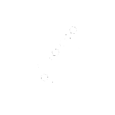 COc1ccc(CN2CCN=C2NC2CCN(c3ccc(C(=O)NC(CC(=O)O)NS(=O)(=O)c4ccccc4)cc3)CC2)cc1